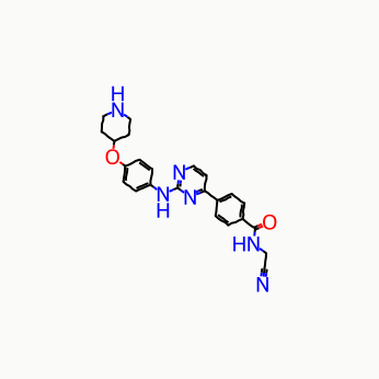 N#CCNC(=O)c1ccc(-c2ccnc(Nc3ccc(OC4CCNCC4)cc3)n2)cc1